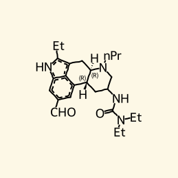 CCCN1CC(NC(=O)N(CC)CC)C[C@@H]2c3cc(C=O)cc4[nH]c(CC)c(c34)C[C@H]21